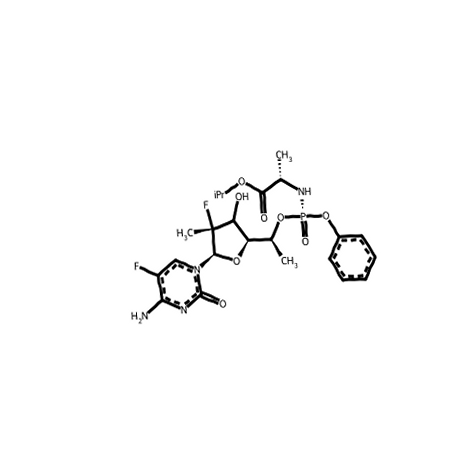 CC(C)OC(=O)[C@H](C)N[P@@](=O)(Oc1ccccc1)O[C@@H](C)[C@H]1O[C@@H](n2cc(F)c(N)nc2=O)[C@](C)(F)C1O